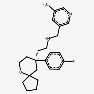 Fc1ccc([C@]2(CCNCc3cncc(C(F)(F)F)c3)CCOC3(CCCC3)C2)cc1